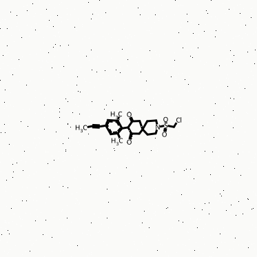 CC#Cc1cc(C)c(C2C(=O)CC3(CCN(S(=O)(=O)CCl)CC3)CC2=O)c(C)c1